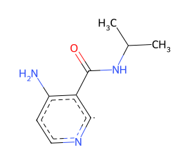 CC(C)NC(=O)c1[c]nccc1N